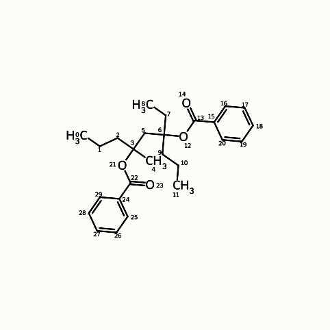 CCCC(C)(CC(CC)(CCC)OC(=O)c1ccccc1)OC(=O)c1ccccc1